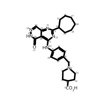 O=C(O)C1CCN(Cc2ccc(Nc3nc(C4CCCCCC4)nc4cn[nH]c(=O)c34)cc2)CC1